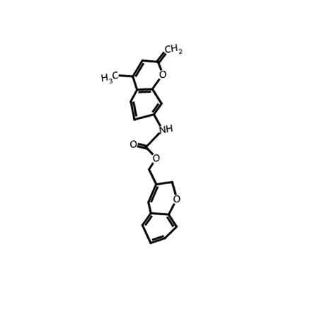 C=C1C=C(C)c2ccc(NC(=O)OCC3=Cc4ccccc4OC3)cc2O1